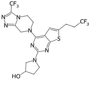 OC1CCN(c2nc(N3CCn4c(nnc4C(F)(F)F)C3)c3cc(CCC(F)(F)F)sc3n2)C1